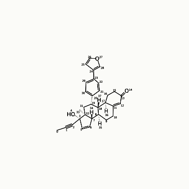 CC#C[C@]1(O)C=C[C@H]2[C@@H]3CCC4=CC(=O)CC[C@@H]4[C@H]3[C@@H](c3ccc(-c4ccoc4)cc3)C[C@@]21C